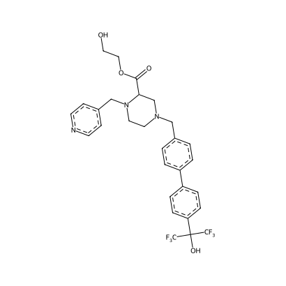 O=C(OCCO)C1CN(Cc2ccc(-c3ccc(C(O)(C(F)(F)F)C(F)(F)F)cc3)cc2)CCN1Cc1ccncc1